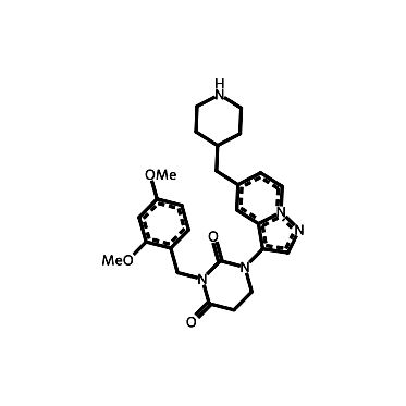 COc1ccc(CN2C(=O)CCN(c3cnn4ccc(CC5CCNCC5)cc34)C2=O)c(OC)c1